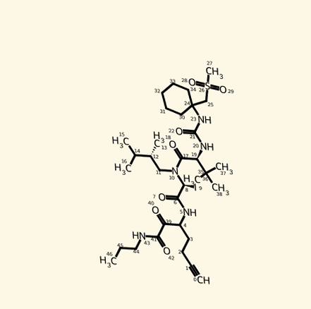 C#CCCC(NC(=O)[C@H](I)N(C[C@@H](C)C(C)C)C(=O)[C@@H](NC(=O)NC1(CS(C)(=O)=O)CCCCC1)C(C)(C)C)C(=O)C(=O)NCCC